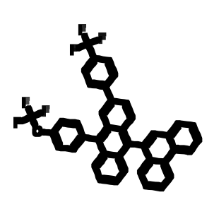 FC(F)(F)Oc1ccc(-c2c3ccccc3c(-c3cc4ccccc4c4ccccc34)c3ccc(-c4ccc(C(F)(F)F)cc4)cc23)cc1